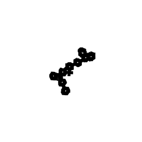 CC1(C)c2cc(-c3ccc(-c4cc5ccccc5c5ccccc45)cc3)ccc2-c2ccc(N(c3ccccc3)c3ccc(-c4ccccc4)cc3)cc21